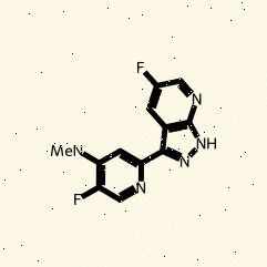 CNc1cc(-c2n[nH]c3ncc(F)cc23)ncc1F